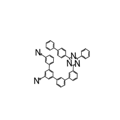 N#Cc1cccc(-c2cc(C#N)cc(-c3cccc(-c4cccc(-c5nc(-c6ccccc6)nc(-c6ccc(-c7ccccc7)cc6)n5)c4)c3)c2)c1